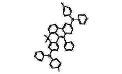 Cc1ccc(N(c2ccccc2)c2ccc3c(c2)C(C)(C)c2cccc4c2c-3c(-c2ccccc2)c2ccc(N(c3ccccc3)c3ccc(C)cc3)cc24)cc1